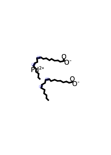 CCCCC/C=C\C/C=C\CCCCCCCC(=O)[O-].CCCCC/C=C\C/C=C\CCCCCCCC(=O)[O-].[Pd+2]